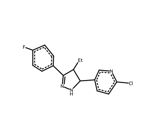 CCC1C(c2ccc(F)cc2)=NNC1c1ccc(Cl)nc1